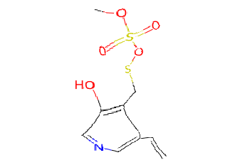 C=Cc1cncc(O)c1CSOS(=O)(=O)OC